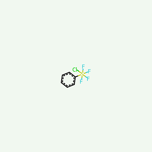 FS(F)(F)(F)(Cl)c1ccccc1